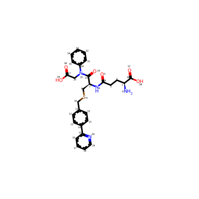 N[C@@H](CCC(=O)N[C@@H](CSCc1ccc(-c2ccccn2)cc1)C(=O)N(CC(=O)O)c1ccccc1)C(=O)O